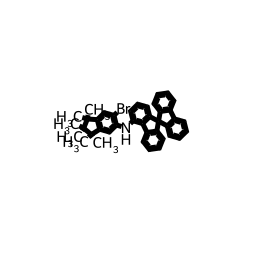 CC1(C)c2cc(Br)c(Nc3cccc4c3-c3ccccc3C43c4ccccc4-c4ccccc43)cc2C(C)(C)C1(C)C